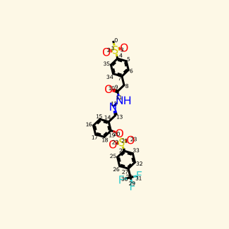 CS(=O)(=O)c1ccc(CC(=O)N/N=C/c2ccccc2OS(=O)(=O)c2ccc(C(F)(F)F)cc2)cc1